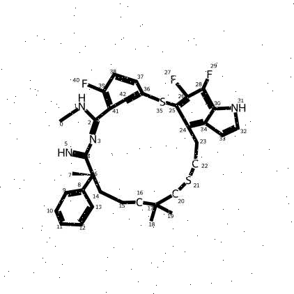 CN/C1=N\C(=N)[C@@](C)(c2ccccc2)CCCC(C)(C)CSCCc2c(c(F)c(F)c3[nH]ccc23)Sc2ccc(F)c1c2